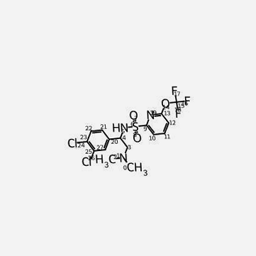 CN(C)CC(NS(=O)(=O)c1cccc(OC(F)(F)F)n1)c1ccc(Cl)c(Cl)c1